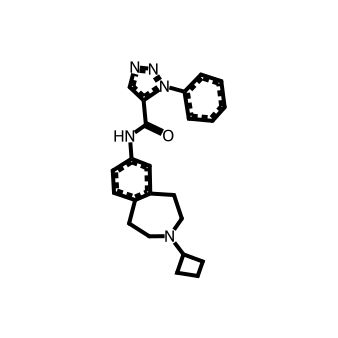 O=C(Nc1ccc2c(c1)CCN(C1CCC1)CC2)c1cnnn1-c1ccccc1